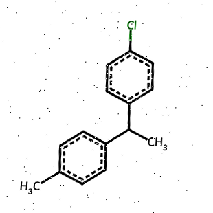 Cc1ccc(C(C)c2ccc(Cl)cc2)cc1